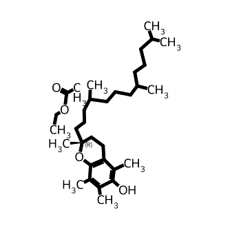 CCOC(C)=O.Cc1c(C)c2c(c(C)c1O)CC[C@@](C)(CCCC(C)CCCC(C)CCCC(C)C)O2